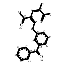 C=C(C)C(C)=CC(=CCc1cccc(C(=O)c2ccccc2)c1)C(C)=O